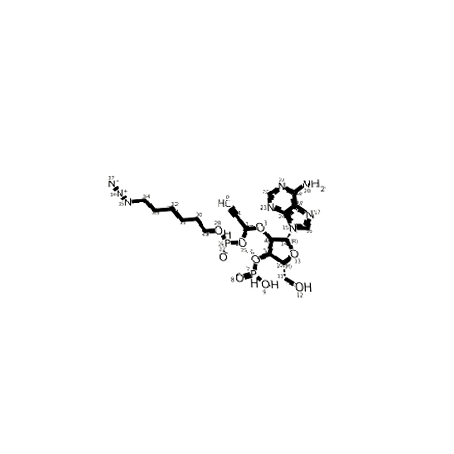 C#CC(OC1C(O[PH](=O)O)[C@@H](CO)O[C@H]1n1cnc2c(N)ncnc21)O[PH](=O)OCCCCCCN=[N+]=[N-]